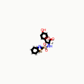 C[C@@](Cc1ccc(O)cc1)(NS(=O)(=O)c1nc2ccccc2s1)C(=O)O